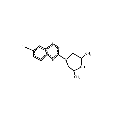 CC1CN(c2cnc3cc(Cl)ccc3n2)CC(C)N1